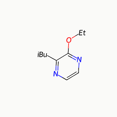 CCOc1nccnc1C(C)CC